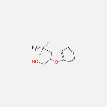 OCC(CC(F)(F)C(F)(F)F)Oc1ccccc1